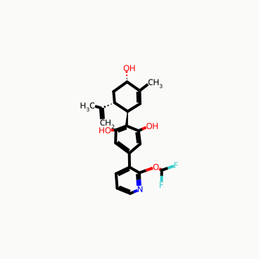 C=C(C)[C@@H]1C[C@H](O)C(C)=C[C@H]1c1c(O)cc(-c2cccnc2OC(F)F)cc1O